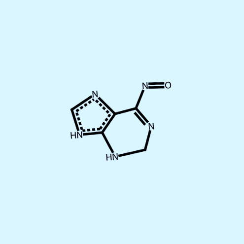 O=NC1=NCNc2[nH]cnc21